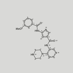 COc1cccc(C(=O)Nc2ncc(C(=O)Nc3cnccc3N3CCNCC3)o2)c1